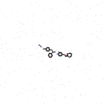 O=C(NCCS(=O)(=O)O)c1ccc(CC(C(=O)Nc2ccc(-c3cc4ccccc4o3)cc2Cl)c2ccc(OC(F)(F)F)cc2)cc1